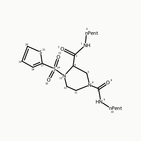 CCCCCNC(=O)C1CN(C(=O)NCCCCC)CCN1S(=O)(=O)c1cccs1